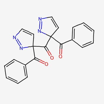 O=C(c1ccccc1)C1(C(=O)C2(C(=O)c3ccccc3)C=CN=N2)C=CN=N1